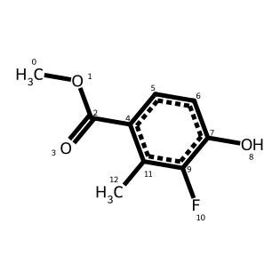 COC(=O)c1ccc(O)c(F)c1C